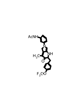 CC(=O)Nc1cccc(N2C=C3NC(Cc4ccc(OC(F)(F)F)cc4)C(=O)C(C)=C3C2)c1